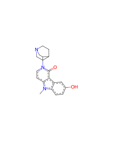 Cn1c2ccc(O)cc2c2c(=O)n(C3CN4CCC3CC4)ccc21